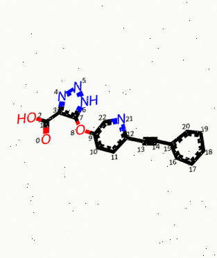 O=C(O)c1nn[nH]c1Oc1ccc(C#Cc2ccccc2)nc1